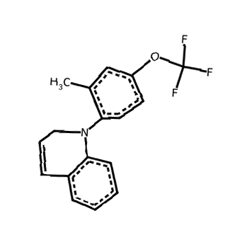 Cc1cc(OC(F)(F)F)ccc1N1CC=Cc2ccccc21